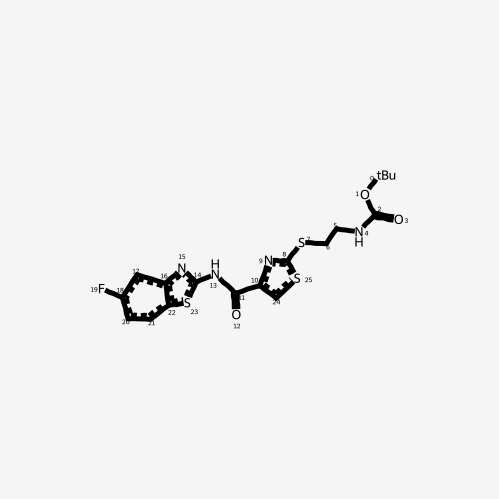 CC(C)(C)OC(=O)NCCSc1nc(C(=O)Nc2nc3cc(F)ccc3s2)cs1